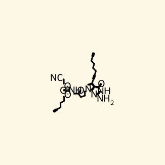 C#CCCCCC#Cc1cn([C@H]2CCC(CNP(=O)(OCCC#N)OCCCCC#C)O2)c2nc(N)[nH]c(=O)c12